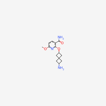 COc1ccc(C(N)=O)c(O[C@H]2CC3(C[C@@H](N)C3)C2)n1